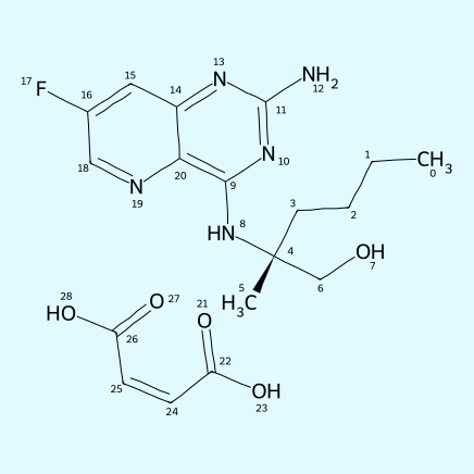 CCCC[C@](C)(CO)Nc1nc(N)nc2cc(F)cnc12.O=C(O)/C=C\C(=O)O